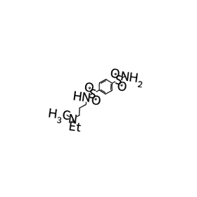 CCN(C)CCCNS(=O)(=O)c1ccc(S(N)(=O)=O)cc1